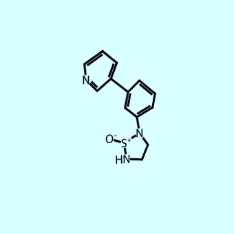 [O-][S+]1NCCN1c1cccc(-c2cccnc2)c1